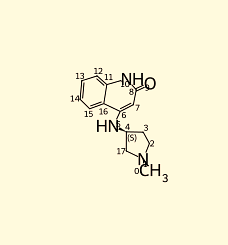 CN1CC[C@H](Nc2cc(=O)[nH]c3ccccc23)C1